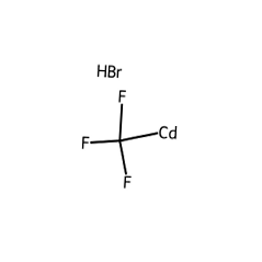 Br.F[C](F)(F)[Cd]